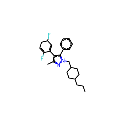 CCCC1CCC(Cn2nc(C)c(C3=CC(F)CC=C3F)c2-c2ccccc2)CC1